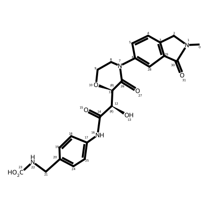 CN1Cc2ccc(N3CCO[C@H]([C@@H](O)C(=O)Nc4ccc(CNC(=O)O)cc4)C3=O)cc2C1=O